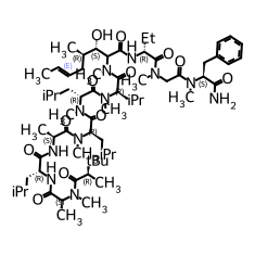 C/C=C/C[C@@H](C)[C@H](O)C(C(=O)N[C@H](CC)C(=O)N(C)CC(=O)N(C)[C@@H](Cc1ccccc1)C(N)=O)N(C)C(=O)[C@@H](C(C)C)N(C)C(=O)[C@@H](CC(C)C)N(C)C(=O)[C@@H](CC(C)C)N(C)C(=O)[C@H](C)NC(=O)[C@@H](CC(C)C)NC(=O)[C@H](C)N(C)C(=O)[C@H](C)C(C)(C)C